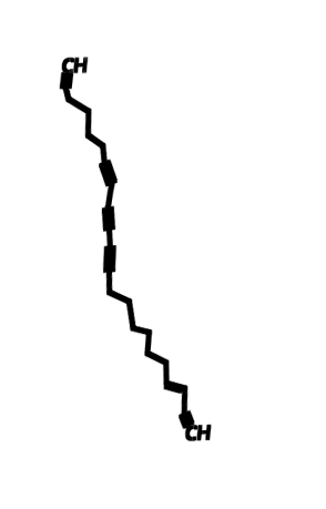 C#CC=CCCCCCCC#CC#CC#CCCCCC#C